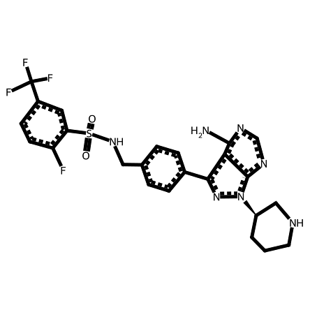 Nc1ncnc2c1c(-c1ccc(CNS(=O)(=O)c3cc(C(F)(F)F)ccc3F)cc1)nn2[C@@H]1CCCNC1